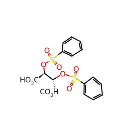 O=C(O)[C@@H](OS(=O)(=O)c1ccccc1)[C@H](OS(=O)(=O)c1ccccc1)C(=O)O